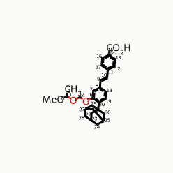 COC(C)OCOc1cc(C=Cc2ccc(C(=O)O)cc2)ccc1C12CC3CC(CC(C3)C1)C2